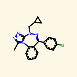 Cc1nnc2n1-c1ccccc1C(c1ccc(Cl)cc1)=NN2CC1CC1